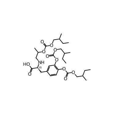 CCC(C)COC(=O)Oc1ccc(C[C@H](NCC(C)OC(=O)OCC(C)CC)C(=O)O)cc1OC(=O)OCC(C)CC